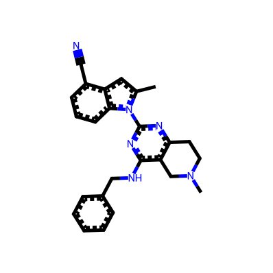 Cc1cc2c(C#N)cccc2n1-c1nc2c(c(NCc3ccccc3)n1)CN(C)CC2